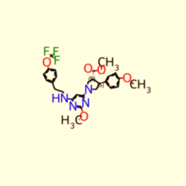 COC(=O)[C@H]1CN(c2cc(NCCc3ccc(OC(F)(F)F)cc3)nc(OC)n2)C[C@@H]1c1ccc(OC)cc1